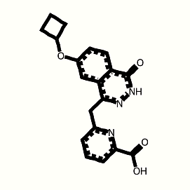 O=C(O)c1cccc(Cc2n[nH]c(=O)c3ccc(OC4CCC4)cc23)n1